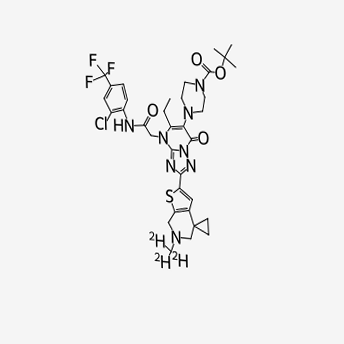 [2H]C([2H])([2H])N1Cc2sc(-c3nc4n(CC(=O)Nc5ccc(C(F)(F)F)cc5Cl)c(CC)c(N5CCN(C(=O)OC(C)(C)C)CC5)c(=O)n4n3)cc2C2(CC2)C1